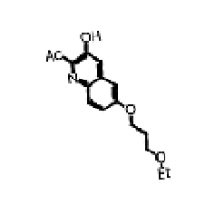 CCOCCCOc1ccc2nc(C(C)=O)c(O)cc2c1